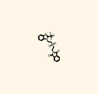 O=C1c2ccccc2C(=O)N1CCS(=O)(=O)CCn1c(C(F)(F)F)nc2ccccc21